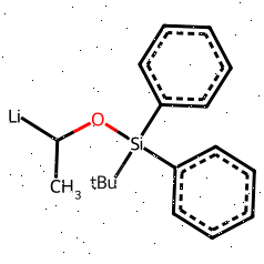 [Li][CH](C)O[Si](c1ccccc1)(c1ccccc1)C(C)(C)C